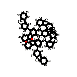 CC(C)(C)c1cc2c3c(c1)N(c1cccc4oc5ccccc5c14)c1cc(-c4ccc5oc6ccccc6c5c4)c4c(sc5ccccc54)c1B3c1c(cc(-c3ccc4oc5ccccc5c4c3)c3c1sc1ccccc13)N2c1cccc2oc3ccccc3c12